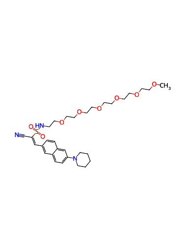 COCCOCCOCCOCCOCCOCCNS(=O)(=O)C(C#N)=Cc1ccc2cc(N3CCCCC3)ccc2c1